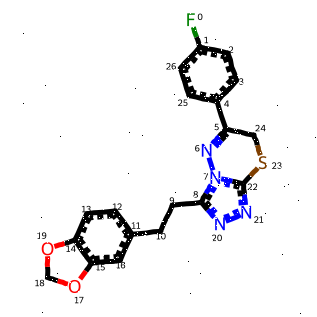 Fc1ccc(C2=Nn3c(CCc4ccc5c(c4)OCO5)nnc3SC2)cc1